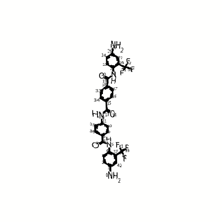 Nc1ccc(NC(=O)c2ccc(NC(=O)c3ccc(C(=O)Nc4ccc(N)cc4C(F)(F)F)cc3)cc2)c(C(F)(F)F)c1